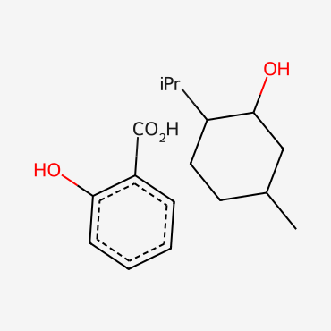 CC1CCC(C(C)C)C(O)C1.O=C(O)c1ccccc1O